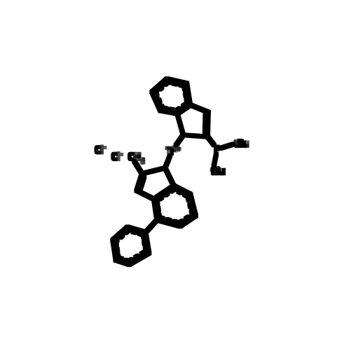 CC1=Cc2c(-c3ccccc3)cccc2[CH]1[Ti+2][CH]1C(P(C(C)(C)C)C(C)(C)C)=Cc2ccccc21.[Cl-].[Cl-]